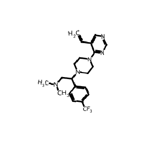 C=Cc1cncnc1N1CCN(C(CN(C)C)c2ccc(C(F)(F)F)cc2)CC1